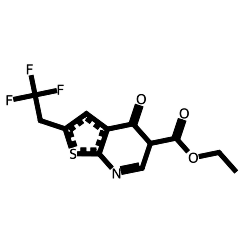 CCOC(=O)C1C=Nc2sc(CC(F)(F)F)cc2C1=O